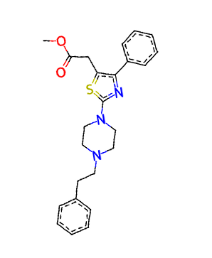 COC(=O)Cc1sc(N2CCN(CCc3ccccc3)CC2)nc1-c1ccccc1